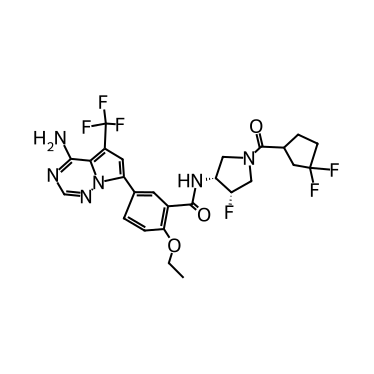 CCOc1ccc(-c2cc(C(F)(F)F)c3c(N)ncnn23)cc1C(=O)N[C@@H]1CN(C(=O)C2CCC(F)(F)C2)C[C@@H]1F